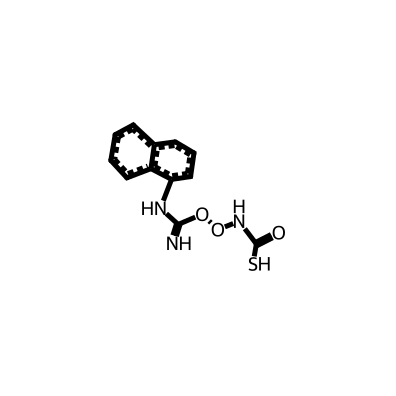 N=C(Nc1cccc2ccccc12)OONC(=O)S